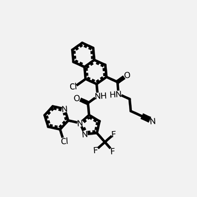 N#CCCNC(=O)c1cc2ccccc2c(Cl)c1NC(=O)c1cc(C(F)(F)F)nn1-c1ncccc1Cl